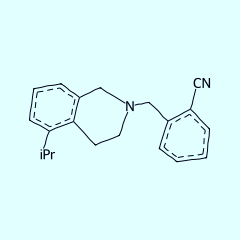 CC(C)c1cccc2c1CCN(Cc1ccccc1C#N)C2